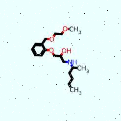 CCCCC(C)NCC(O)COc1ccccc1COCCOC